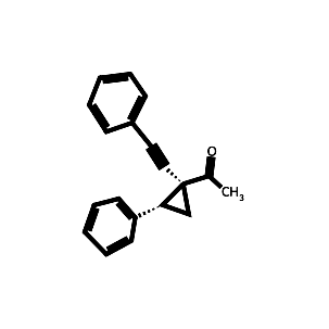 CC(=O)[C@@]1(C#Cc2ccccc2)C[C@@H]1c1ccccc1